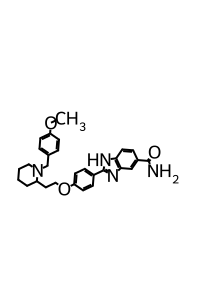 COc1ccc(CN2CCCCC2CCOc2ccc(-c3nc4cc(C(N)=O)ccc4[nH]3)cc2)cc1